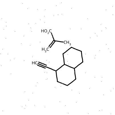 C#CC1CCCC2CCCCC12.C=C(C)C(=O)O